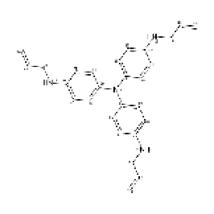 C=CCNc1ccc(N(c2ccc(NCC=C)cc2)c2ccc(NCC=C)cc2)cc1